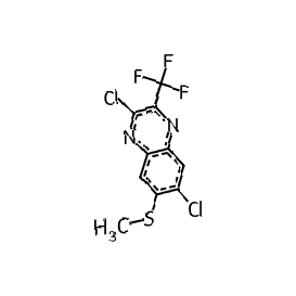 CSc1cc2nc(Cl)c(C(F)(F)F)nc2cc1Cl